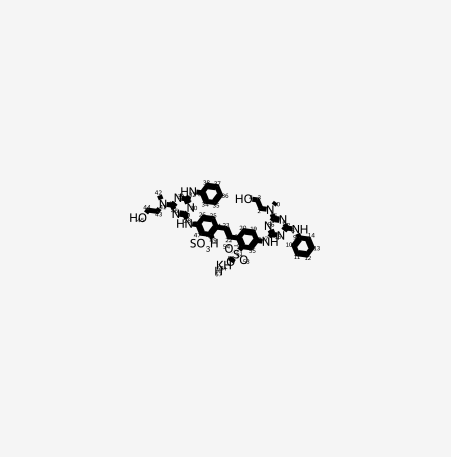 CN(CCO)c1nc(Nc2ccccc2)nc(Nc2ccc(C=Cc3ccc(Nc4nc(Nc5ccccc5)nc(N(C)CCO)n4)cc3S(=O)(=O)O)c(S(=O)(=O)[O-])c2)n1.[H+].[KH]